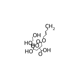 C=CC=CCOC(=O)CC(O)(CC(=O)O)C(=O)O.OCCO